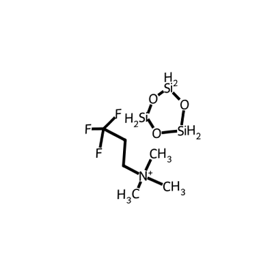 C[N+](C)(C)CCC(F)(F)F.O1[SiH2]O[SiH2]O[SiH2]1